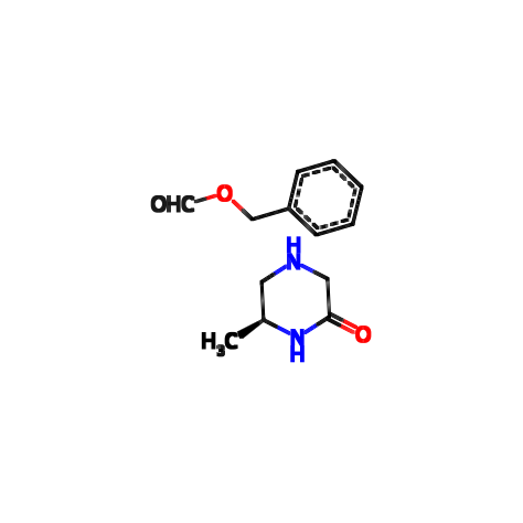 C[C@H]1CNCC(=O)N1.O=COCc1ccccc1